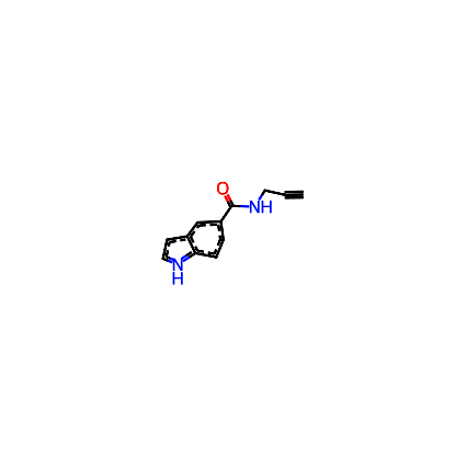 C#CCNC(=O)c1ccc2[nH]ccc2c1